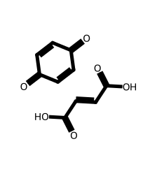 O=C(O)/C=C/C(=O)O.O=C1C=CC(=O)C=C1